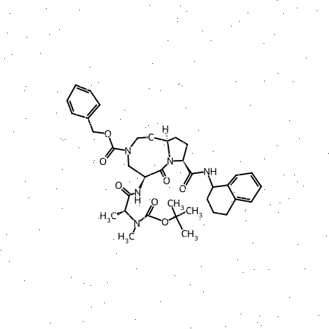 C[C@@H](C(=O)N[C@H]1CN(C(=O)OCc2ccccc2)CC[C@H]2CC[C@@H](C(=O)NC3CCCc4ccccc43)N2C1=O)N(C)C(=O)OC(C)(C)C